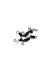 COc1ccccc1NC1CCN(S(=O)(=O)c2ccc(CNC(=O)c3ccc(Cl)cc3)o2)CC1.O=C(NCc1ccc(S(=O)(=O)N2CCC(Nc3cccc([N+](=O)[O-])c3)CC2)o1)c1ccc(Cl)cc1